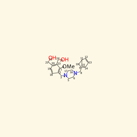 COc1c(CN2CCN(CC3CC4C=CC3C4)CC2)ccc(CO)c1CO